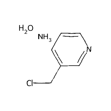 ClCc1cccnc1.N.O